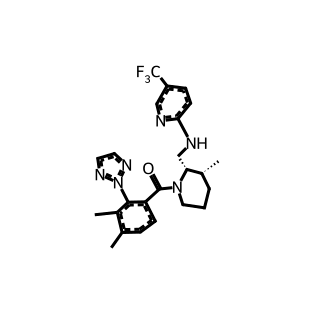 Cc1ccc(C(=O)N2CCC[C@@H](C)[C@H]2CNc2ccc(C(F)(F)F)cn2)c(-n2nccn2)c1C